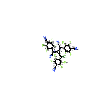 N#C/C(=C1\C(=C(Cl)c2c(F)c(F)c(C#N)c(F)c2F)\C1=C(\C#N)c1c(F)c(F)c(C#N)c(F)c1F)c1c(F)c(F)c(C#N)c(F)c1F